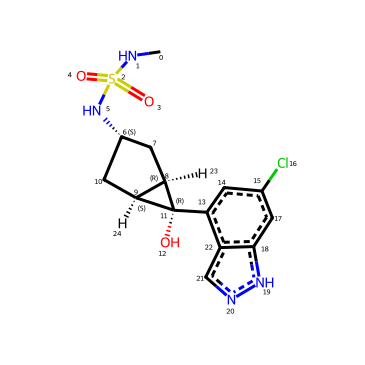 CNS(=O)(=O)N[C@@H]1C[C@@H]2[C@H](C1)[C@]2(O)c1cc(Cl)cc2[nH]ncc12